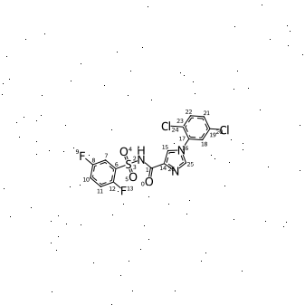 O=C(NS(=O)(=O)c1cc(F)ccc1F)c1cn(-c2cc(Cl)ccc2Cl)cn1